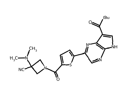 CN(C)C1(C#N)CN(C(=O)c2ccc(-c3cnc4[nH]cc(C(=O)C(C)(C)C)c4n3)s2)C1